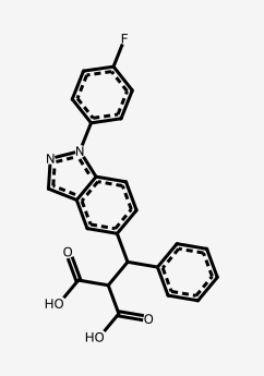 O=C(O)C(C(=O)O)C(c1ccccc1)c1ccc2c(cnn2-c2ccc(F)cc2)c1